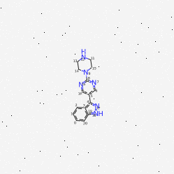 c1ccc2c(-c3cnc(N4CCNCC4)nc3)n[nH]c2c1